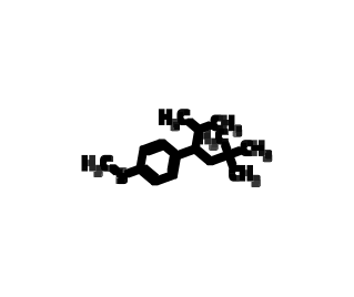 CSc1ccc(C(CC(C)(C)C)C(C)C)cc1